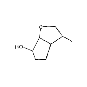 CC1COC2C(O)CCC12